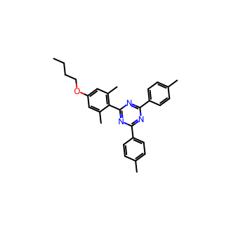 CCCCOc1cc(C)c(-c2nc(-c3ccc(C)cc3)nc(-c3ccc(C)cc3)n2)c(C)c1